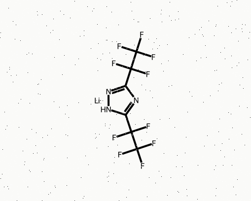 FC(F)(F)C(F)(F)c1n[nH]c(C(F)(F)C(F)(F)F)n1.[Li]